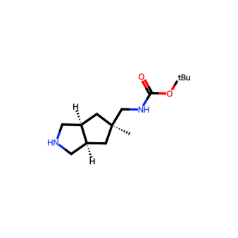 CC(C)(C)OC(=O)NC[C@@]1(C)C[C@H]2CNC[C@H]2C1